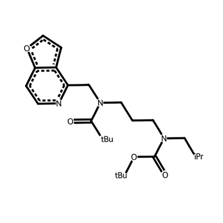 CC(C)CN(CCCN(Cc1nccc2occc12)C(=O)C(C)(C)C)C(=O)OC(C)(C)C